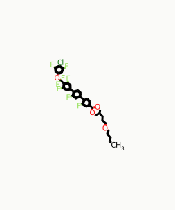 CCC/C=C/OCCCC1COC(c2ccc(-c3ccc(-c4cc(F)c(C(F)(F)Oc5cc(F)c(Cl)c(F)c5)c(F)c4)c(F)c3)c(F)c2)OC1